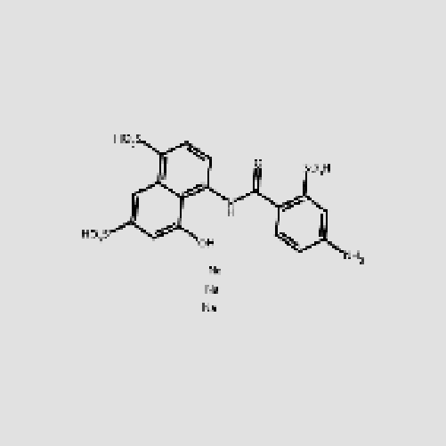 Nc1ccc(C(=O)Nc2ccc(S(=O)(=O)O)c3cc(S(=O)(=O)O)cc(O)c23)c(S(=O)(=O)O)c1.[Na].[Na].[Na]